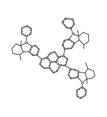 CC1CCCC2(C)C1c1cc(-c3ccc4ccc5c(-c6ccc7c(c6)C6C(C)CCCC6(C)N7c6ccccc6)cc(-c6ccc7c(c6)C6C(C)CCCC6(C)N7c6ccccc6)c6ccc3c4c56)ccc1N2c1ccccc1